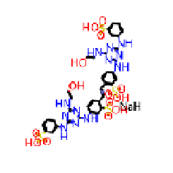 O=S(=O)(O)c1cccc(Nc2nc(NCCO)nc(Nc3ccc(/C=C/c4ccc(Nc5nc(NCCO)nc(Nc6cccc(S(=O)(=O)O)c6)n5)cc4S(=O)(=O)O)c(S(=O)(=O)O)c3)n2)c1.[NaH]